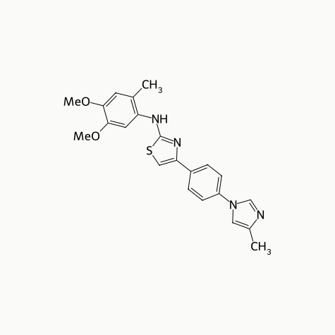 COc1cc(C)c(Nc2nc(-c3ccc(-n4cnc(C)c4)cc3)cs2)cc1OC